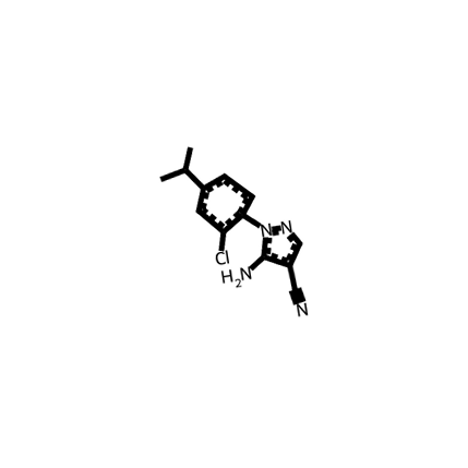 CC(C)c1ccc(-n2ncc(C#N)c2N)c(Cl)c1